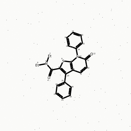 CCN(CC)C(=O)c1sc2c(ccc(=O)n2-c2ccccc2)c1-c1ccccc1